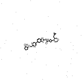 O=C(Nc1nc2ccc(-c3cnc(CO[C@H]4CCC[C@@H]4O)nc3)cc2s1)C1CC(N2CCOCC2CC2CC2)C1